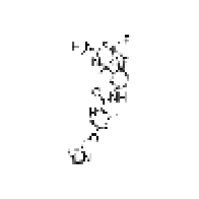 Cc1cc(OCc2ncco2)cnc1C(=O)Nc1ccc(F)c([C@]2(C)N=C(N)S[C@@]3(CF)C[C@H]32)c1